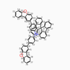 c1ccc2c(c1)-c1ccccc1C21c2ccccc2-c2cccc(N(c3ccc(-c4ccc5oc6ccccc6c5c4)cc3)c3ccc(-c4ccc5oc6ccccc6c5c4)cc3)c21